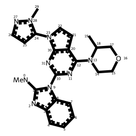 CNc1nc2ccccc2n1-c1nc(N2CCOCC2C)c2ccn(-c3ccnn3C)c2n1